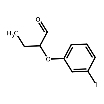 CCC(C=O)Oc1cccc(I)c1